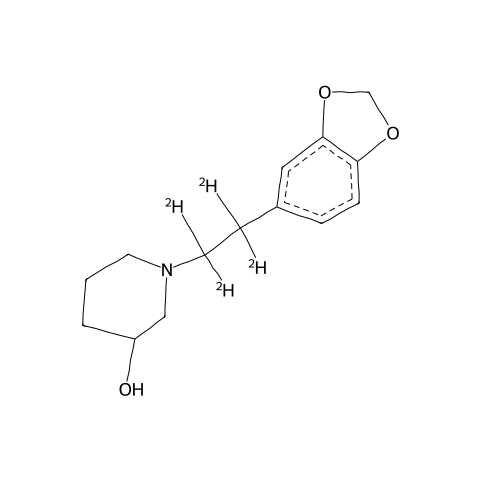 [2H]C([2H])(c1ccc2c(c1)OCO2)C([2H])([2H])N1CCCC(O)C1